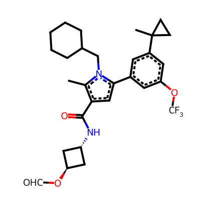 Cc1c(C(=O)N[C@H]2C[C@H](OC=O)C2)cc(-c2cc(OC(F)(F)F)cc(C3(C)CC3)c2)n1CC1CCCCC1